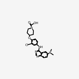 CN(C)c1ccc2ncnc(Nc3ccc(OC4CCN(C(=O)O)CC4)c(Cl)c3)c2c1